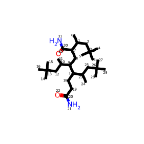 CC(CC(C)(C)C)C(CC(C(C)CC(C)(C)C)C(CCC(N)=O)C(C)CC(C)(C)C)C(N)=O